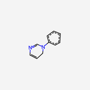 C1=CN=CN(c2ccccc2)C1